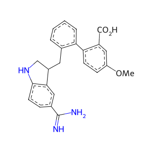 COc1ccc(-c2ccccc2CC2CNc3ccc(C(=N)N)cc32)c(C(=O)O)c1